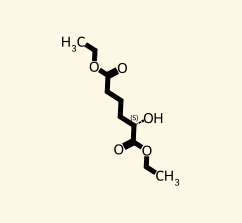 CCOC(=O)CCC[C@H](O)C(=O)OCC